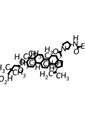 C=C(C)[C@@H]1CC[C@]2(CC(=O)N3CC[C@H](NC(=O)CC)C3)CC[C@]3(C)[C@H](CC[C@@H]4[C@@]5(C)CC[C@H](OC(=O)CC(C)(C)CC(=O)O)C(C)(C)[C@@H]5CC[C@]43C)[C@@H]12